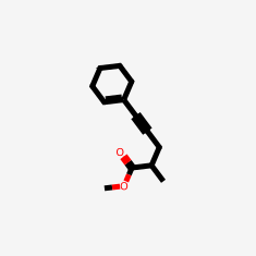 COC(=O)C(C)CC#CC1=CC[CH]CC1